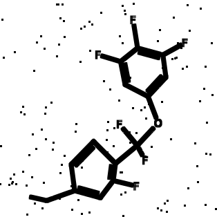 CCc1ccc(C(F)(F)Oc2cc(F)c(F)c(F)c2)c(F)c1